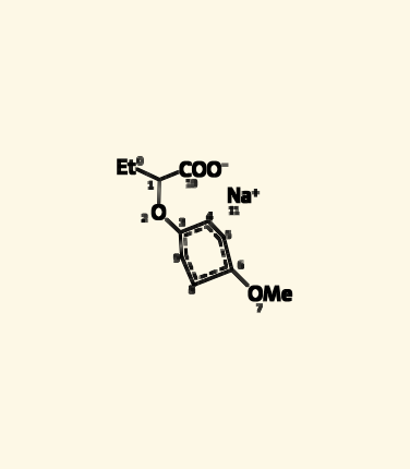 CCC(Oc1ccc(OC)cc1)C(=O)[O-].[Na+]